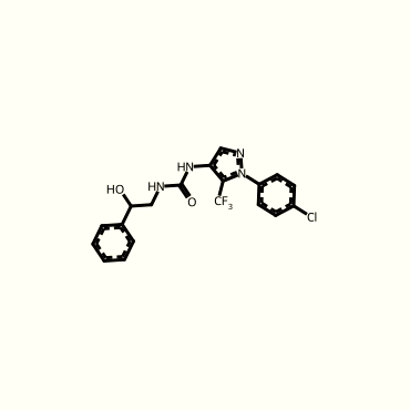 O=C(NCC(O)c1ccccc1)Nc1cnn(-c2ccc(Cl)cc2)c1C(F)(F)F